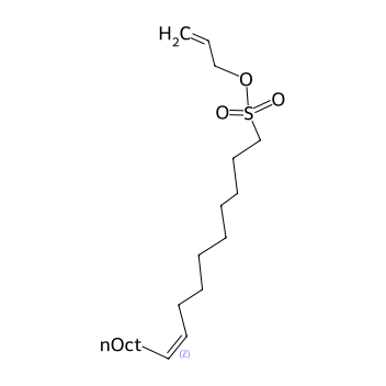 C=CCOS(=O)(=O)CCCCCCCC/C=C\CCCCCCCC